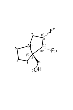 OC[C@@]12CCCN1C[C@H](F)[C@@H]2F